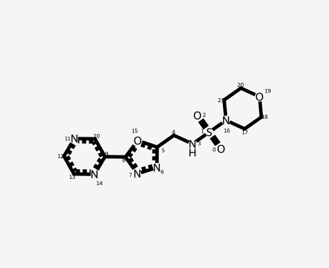 O=S(=O)(NCc1nnc(-c2cnccn2)o1)N1CCOCC1